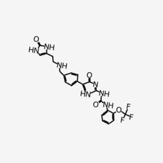 O=C(Nc1nc(=O)c(-c2ccc(CNCCc3c[nH]c(=O)[nH]3)cc2)c[nH]1)Nc1ccccc1OC(F)(F)F